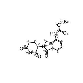 CC(C)(C)OC(=O)Nc1cccc2c1CN([C@@H]1CCC(=O)NC1=O)C2=O